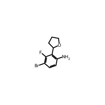 Nc1ccc(Br)c(F)c1C1CCCO1